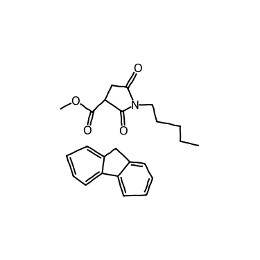 CCCCCN1C(=O)CC(C(=O)OC)C1=O.c1ccc2c(c1)Cc1ccccc1-2